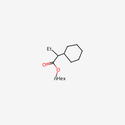 [CH2]CC(C(=O)OCCCCCC)C1CCCCC1